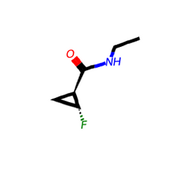 CCNC(=O)[C@@H]1C[C@H]1F